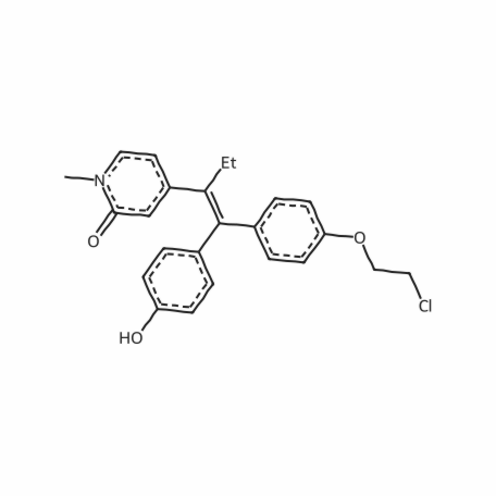 CC/C(=C(/c1ccc(O)cc1)c1ccc(OCCCl)cc1)c1ccn(C)c(=O)c1